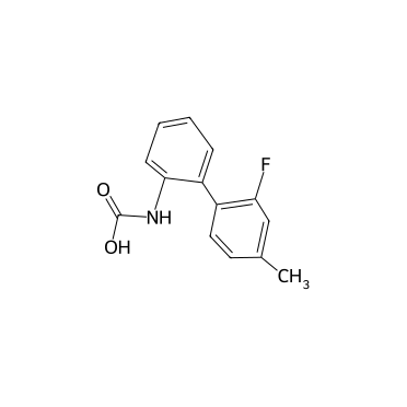 Cc1ccc(-c2ccccc2NC(=O)O)c(F)c1